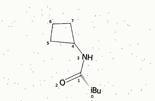 CC[C@@H](C)C(=O)NC1CCC1